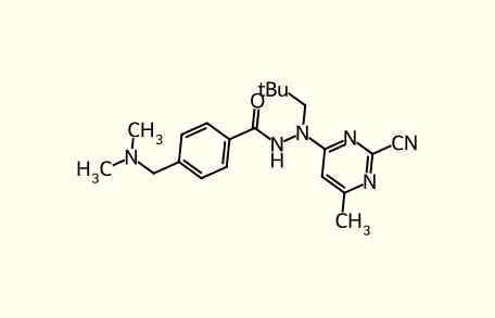 Cc1cc(N(CC(C)(C)C)NC(=O)c2ccc(CN(C)C)cc2)nc(C#N)n1